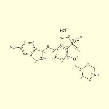 Cl.N#Cc1ccc2c(c1)CNC2Cc1ccc(OCC2CCNCC2)c2c1CCS2(=O)=O